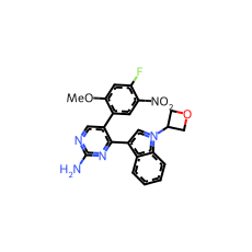 COc1cc(F)c([N+](=O)[O-])cc1-c1cnc(N)nc1-c1cn(C2COC2)c2ccccc12